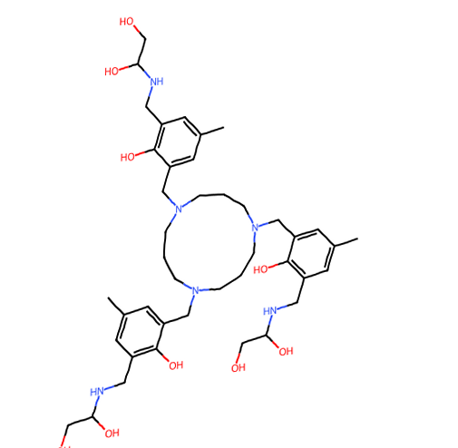 Cc1cc(CNC(O)CO)c(O)c(CN2CCCN(Cc3cc(C)cc(CNC(O)CO)c3O)CCCN(Cc3cc(C)cc(CNC(O)CO)c3O)CCC2)c1